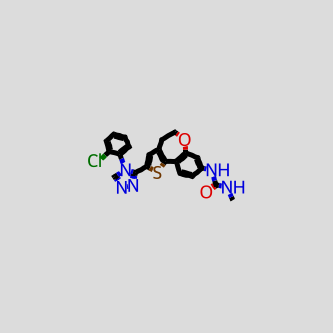 CNC(=O)Nc1ccc2c(c1)OCCc1cc(-c3nncn3-c3ccccc3Cl)sc1-2